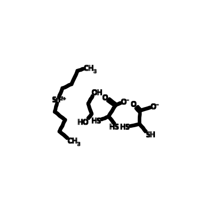 CCC[CH2][Sn+2][CH2]CCC.O=C([O-])C(S)S.O=C([O-])C(S)S.OCCO